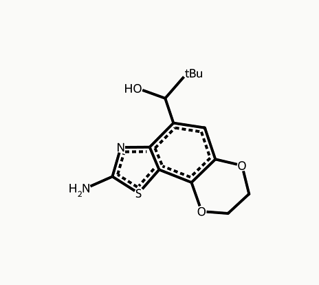 CC(C)(C)C(O)c1cc2c(c3sc(N)nc13)OCCO2